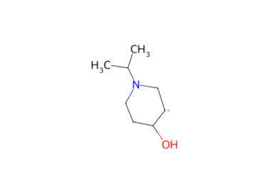 CC(C)N1C[CH]C(O)CC1